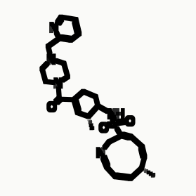 C[C@@H]1/C=C\C=N/C/C(S(=O)(=O)NC2CCC(C(=O)N3CCN(Cc4ccccn4)CC3)=C[C@H]2C)=C\C=C/1